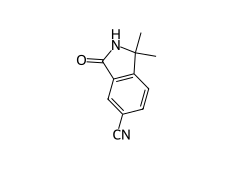 CC1(C)NC(=O)c2cc(C#N)ccc21